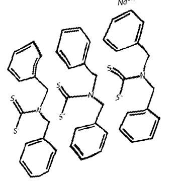 S=C([S-])N(Cc1ccccc1)Cc1ccccc1.S=C([S-])N(Cc1ccccc1)Cc1ccccc1.S=C([S-])N(Cc1ccccc1)Cc1ccccc1.[Nd+3]